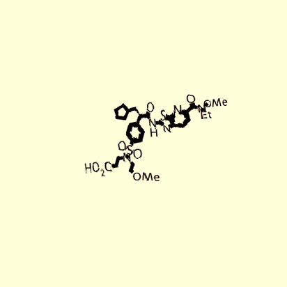 CCN(OC)C(=O)c1ccc2nc(NC(=O)[C@H](CC3CCCC3)c3ccc(S(=O)(=O)N(CCOC)CCC(=O)O)cc3)sc2n1